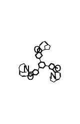 C1=C\c2oc3ccc(-c4cc(-c5ccc6oc7c(c6c5)N5CCCC/C(=C/C=C\7)CC5)cc(-c5ccc6oc7c(c6c5)N5CCC/C(=C/C=C\7)C5)c4)cc3c2C2CC/C(=C/1)C2